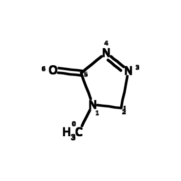 CN1[C]N=NC1=O